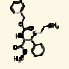 COC(=O)C(NC(=O)OCc1ccccc1)C(SCCN)c1ccccc1